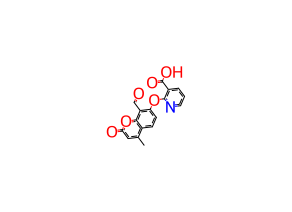 Cc1cc(=O)oc2c(C=O)c(Oc3ncccc3C(=O)O)ccc12